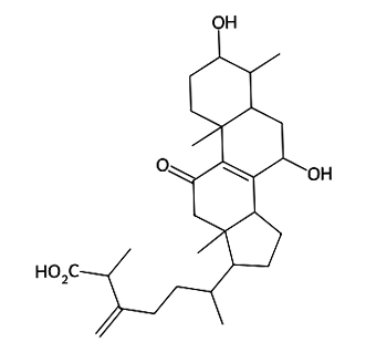 C=C(CCC(C)C1CCC2C3=C(C(=O)CC21C)C1(C)CCC(O)C(C)C1CC3O)C(C)C(=O)O